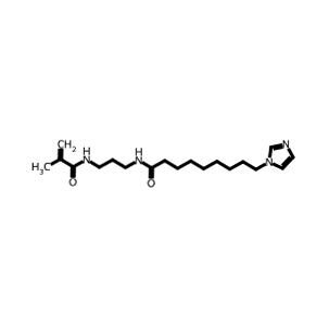 C=C(C)C(=O)NCCCNC(=O)CCCCCCCCn1ccnc1